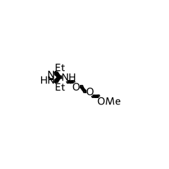 CCc1n[nH]c(CC)c1NCCOCCOCCOC